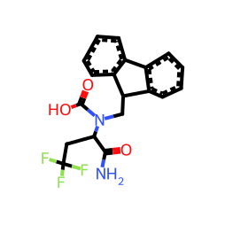 NC(=O)C(CC(F)(F)F)N(CC1c2ccccc2-c2ccccc21)C(=O)O